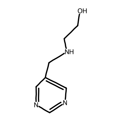 OCCNCc1cncnc1